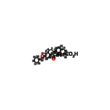 CC1(C)C2CC[C@]3(C)C(C(=O)C=C4[C@@H]5C[C@@](C)(C(=O)O)CC[C@]5(C)CC[C@]43C)[C@@]2(C)CC[C@@H]1OCC1CCCCC1